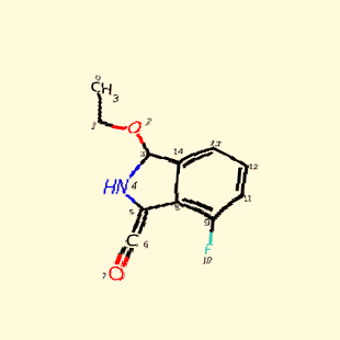 CCOC1NC(=C=O)c2c(F)cccc21